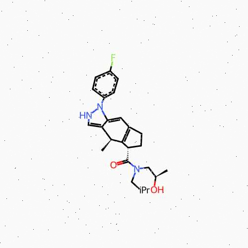 CC(C)CN(C[C@@H](C)O)C(=O)[C@H]1CCC2=C1[C@@H](C)C1=CNN(c3ccc(F)cc3)C1=C2